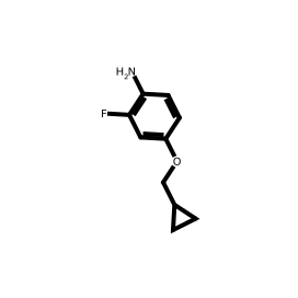 Nc1ccc(OCC2CC2)cc1F